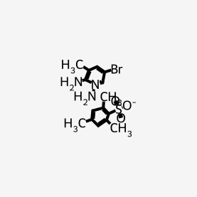 Cc1cc(Br)c[n+](N)c1N.Cc1cc(C)c(S(=O)(=O)[O-])c(C)c1